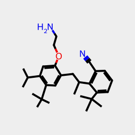 CC(C)c1cc(OCCN)c(CC(C)c2c(C#N)cccc2C(C)(C)C)cc1C(C)(C)C